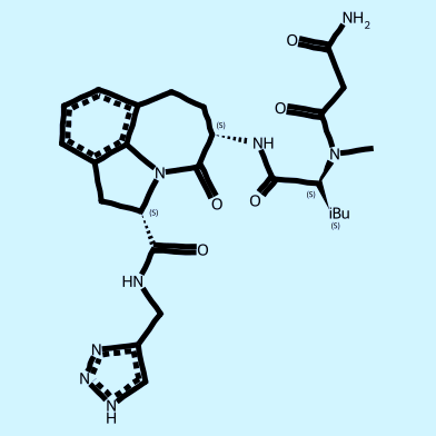 CC[C@H](C)[C@@H](C(=O)N[C@H]1CCc2cccc3c2N(C1=O)[C@H](C(=O)NCc1c[nH]nn1)C3)N(C)C(=O)CC(N)=O